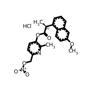 COc1ccc2c([C@H](C)C(=O)Oc3ccc(CO[N+](=O)[O-])nc3C)cccc2c1.Cl